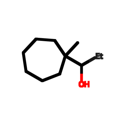 CCC(O)C1(C)CCCCCC1